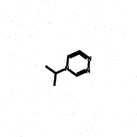 CC(C)N1C=C=NN=C1